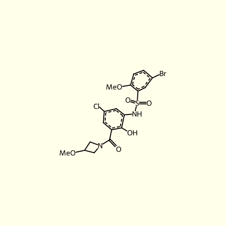 COc1ccc(Br)cc1S(=O)(=O)Nc1cc(Cl)cc(C(=O)N2CC(OC)C2)c1O